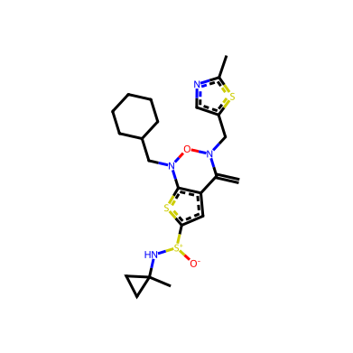 C=C1c2cc([S+]([O-])NC3(C)CC3)sc2N(CC2CCCCC2)ON1Cc1cnc(C)s1